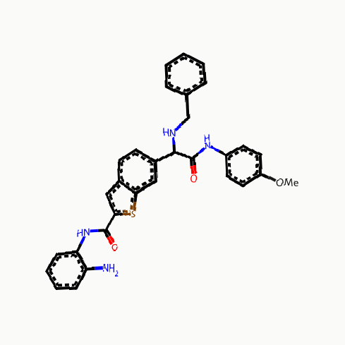 COc1ccc(NC(=O)C(NCc2ccccc2)c2ccc3cc(C(=O)Nc4ccccc4N)sc3c2)cc1